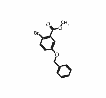 COC(=O)c1cc(OCc2ccccc2)ccc1Br